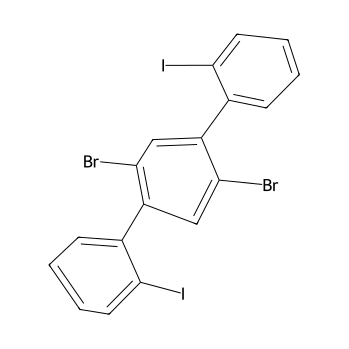 Brc1cc(-c2ccccc2I)c(Br)cc1-c1ccccc1I